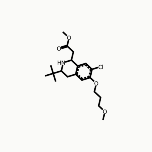 COCCCOc1cc2c(cc1Cl)C(CC(=O)OC)NC(C(C)(C)C)C2